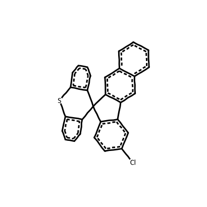 Clc1ccc2c(c1)-c1cc3ccccc3cc1C21c2ccccc2Sc2ccccc21